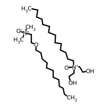 CCCCCCCCCCCCCC[N+]([O-])(CCO)CCO.CCCCCCCCCCCCOCC[N+](C)(C)[O-]